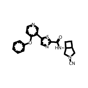 N#CN1CC2CC[C@]2(NC(=O)c2ncc(-c3cnccc3Oc3ccccc3)s2)C1